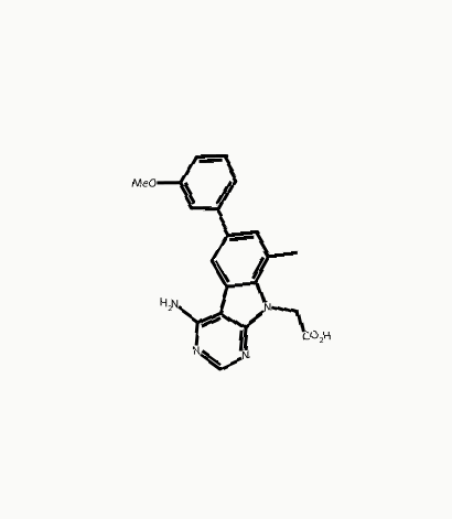 COc1cccc(-c2cc(C)c3c(c2)c2c(N)ncnc2n3CC(=O)O)c1